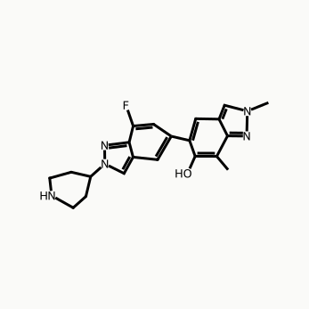 Cc1c(O)c(-c2cc(F)c3nn(C4CCNCC4)cc3c2)cc2cn(C)nc12